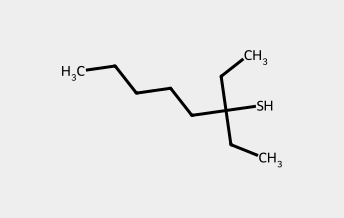 CCCCCC(S)(CC)CC